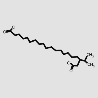 CC(C)C(CCCCCCCCCCCCCCCCC(=O)Cl)CC(=O)Cl